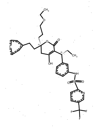 CCOCCC[C@@]1(CCc2ccccc2)CC(O)=C([C@H](CC)c2cccc(NS(=O)(=O)c3ccc(C(F)(F)F)cn3)c2)C(=O)O1